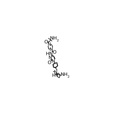 CN(Cc1ccc(-n2ccc(NC(=O)N3CCN(C(=O)C(C)(C)N)CC3)nc2=O)cc1)[C@@H]1CC2(N)CC1C2